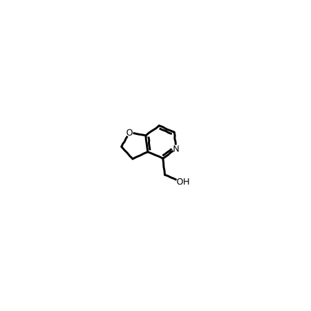 OCc1nccc2c1CCO2